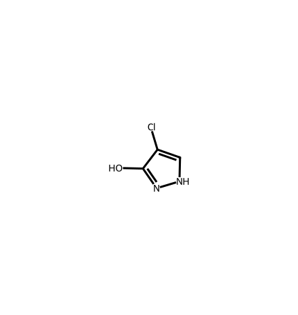 Oc1n[nH]cc1Cl